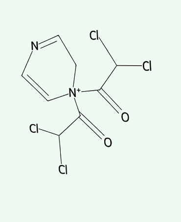 O=C(C(Cl)Cl)[N+]1(C(=O)C(Cl)Cl)C=CN=CC1